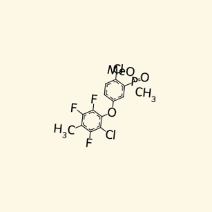 COP(C)(=O)c1cc(Oc2c(F)c(F)c(C)c(F)c2Cl)ccc1Cl